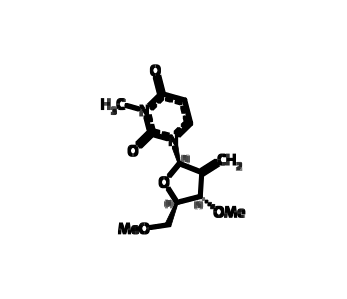 C=C1[C@H](n2ccc(=O)n(C)c2=O)O[C@H](COC)[C@H]1OC